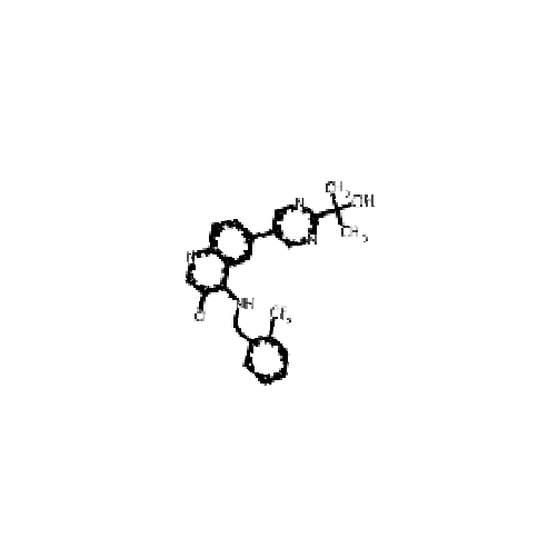 CC(C)(O)c1ncc(-c2ccc3ncc(Cl)c(NCc4ccccc4C(F)(F)F)c3c2)cn1